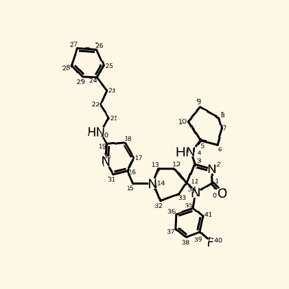 O=C1N=C(NC2CCCCC2)C2(CCN(Cc3ccc(NCCCc4ccccc4)nc3)CC2)N1c1cccc(F)c1